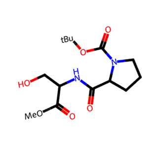 COC(=O)C(CO)NC(=O)C1CCCN1C(=O)OC(C)(C)C